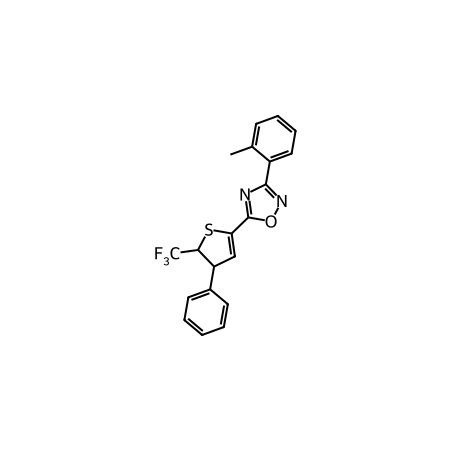 Cc1ccccc1-c1noc(C2=CC(c3ccccc3)C(C(F)(F)F)S2)n1